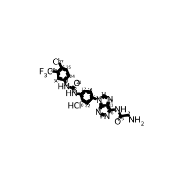 Cl.NCC(=O)Nc1ncnc2c1ncn2-c1ccc(NC(=O)Nc2ccc(Cl)c(C(F)(F)F)c2)cc1